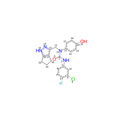 O=C(Nc1ccc(F)c(Cl)c1)N(Cc1n[nH]c2c1CCC2)c1ccc(O)cc1